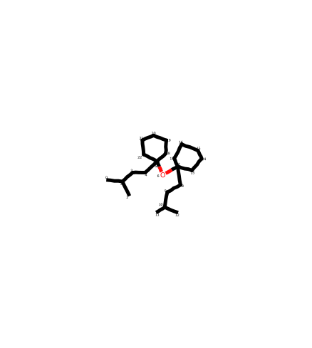 CC(C)CCC1(OC2(CCC(C)C)CCCCC2)CCCCC1